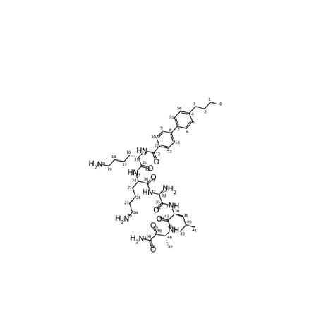 CCCCc1ccc(-c2ccc(C(=O)N[C@@H](CCCCN)C(=O)NC(CCCCN)C(=O)N[C@@H](N)C(=O)N[C@@H](CC(C)C)C(=O)N[C@H](C)C(=O)C(N)=O)cc2)cc1